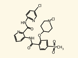 CS(=O)(=O)c1ccc(C(=O)Nc2cccnc2C(=O)Nc2ccc(Cl)cn2)c(OC2CCN(Cl)CC2)c1